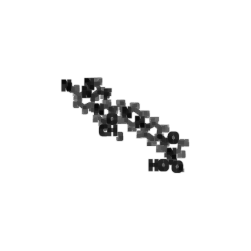 C[C@@H]1CN(c2ccc(C#N)n3ncc(F)c23)C[C@H](CN2CCN(c3ccc([C@@H]4CN(C(=O)O)CCO4)cc3)CC2)O1